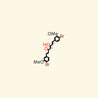 COc1cc(/C=C/C(=O)/C=C(O)/C=C/c2ccc(Br)c(OC)c2)ccc1Br